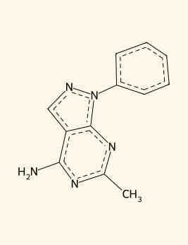 Cc1nc(N)c2cnn(-c3ccccc3)c2n1